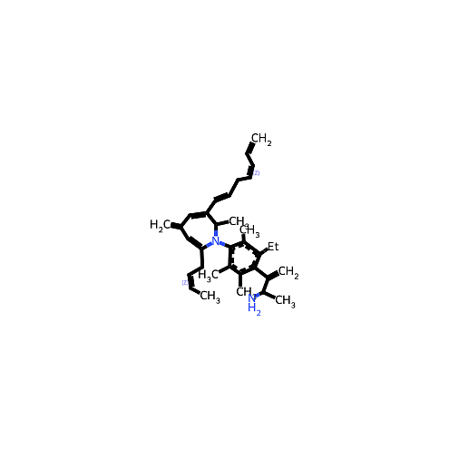 C=C/C=C\CC=CC1=CC(=C)C=C(C/C=C\C)N(c2c(C)c(C)c(C(=C)C(C)N)c(CC)c2C)C1C